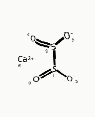 O=S([O-])S(=O)[O-].[Ca+2]